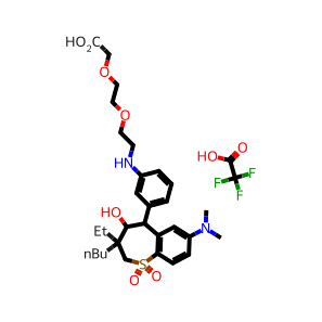 CCCCC1(CC)CS(=O)(=O)c2ccc(N(C)C)cc2C(c2cccc(NCCOCCOCC(=O)O)c2)C1O.O=C(O)C(F)(F)F